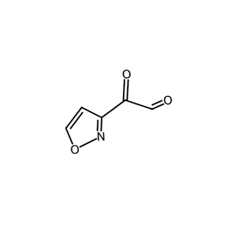 O=CC(=O)c1ccon1